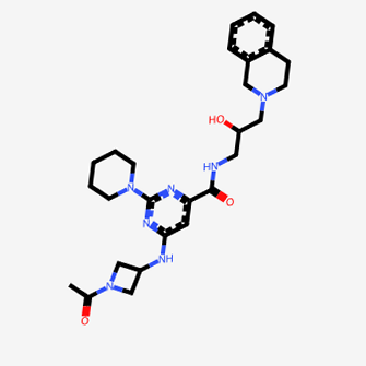 CC(=O)N1CC(Nc2cc(C(=O)NCC(O)CN3CCc4ccccc4C3)nc(N3CCCCC3)n2)C1